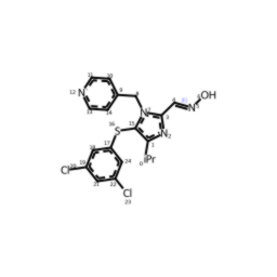 CC(C)c1nc(/C=N/O)n(Cc2ccncc2)c1Sc1cc(Cl)cc(Cl)c1